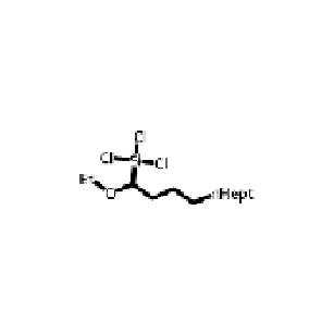 CCCCCCCCCCC(OCC)[Si](Cl)(Cl)Cl